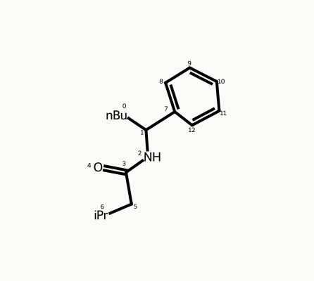 CCCCC(NC(=O)CC(C)C)c1ccccc1